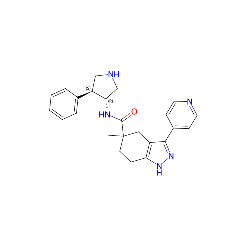 CC1(C(=O)N[C@H]2CNC[C@@H]2c2ccccc2)CCc2[nH]nc(-c3ccncc3)c2C1